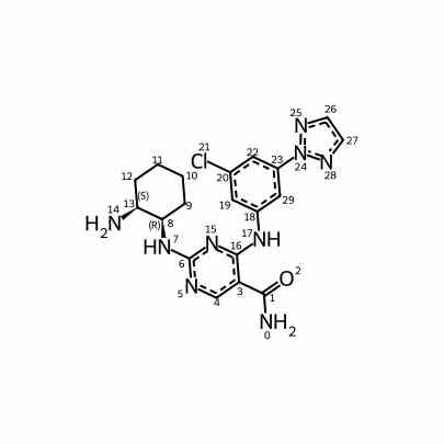 NC(=O)c1cnc(N[C@@H]2CCCC[C@@H]2N)nc1Nc1cc(Cl)cc(-n2nccn2)c1